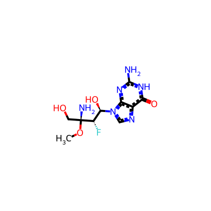 CO[C@](N)(CO)[C@@H](F)[C@@H](O)n1cnc2c(=O)[nH]c(N)nc21